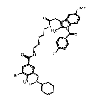 CCN(Cc1cc(C(=O)OCCSCCOC(=O)Cc2c(C)n(C(=O)c3ccc(Cl)cc3)c3ccc(OC)cc23)cc(Br)c1N)C1CCCCC1